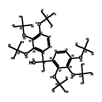 CC(C)(C)Oc1ccc(C(C)(O)c2ccc(OC(C)(C)C)c(OC(C)(C)C)c2OC(C)(C)C)c(OC(C)(C)C)c1OC(C)(C)C